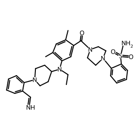 CCN(c1cc(C(=O)N2CCN(c3ccccc3S(N)(=O)=O)CC2)c(C)cc1C)C1CCN(c2ccccc2C=N)CC1